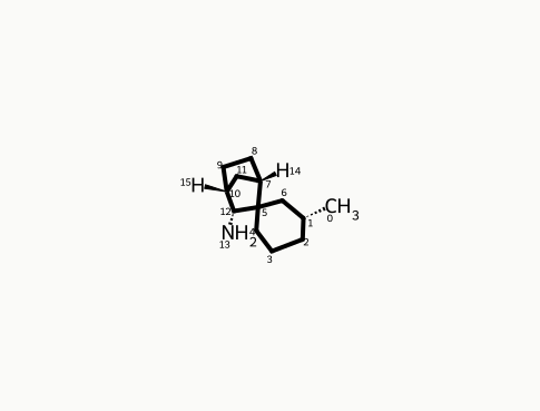 C[C@@H]1CCCC2(C1)[C@H]1CC[C@H](C1)[C@H]2N